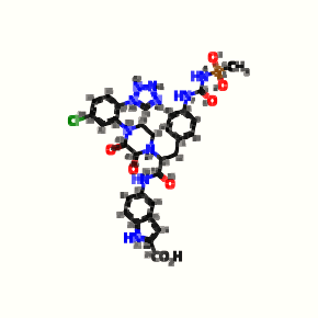 CS(=O)(=O)NC(=O)Nc1ccc(CC(C(=O)Nc2ccc3[nH]c(C(=O)O)cc3c2)N2CCN(c3cc(Cl)ccc3-n3cnnn3)C(=O)C2=O)cc1